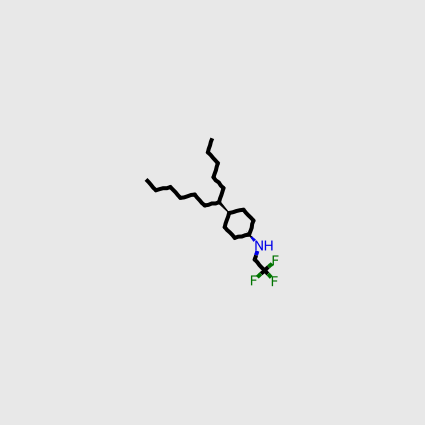 CCCCCCC(CCCCC)[C@H]1CC[C@@H](NCC(F)(F)F)CC1